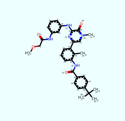 COCC(=O)Nc1cccc(Nc2nc(-c3cccc(NC(=O)c4ccc(C(C)(C)C)cc4)c3C)cn(C)c2=O)c1